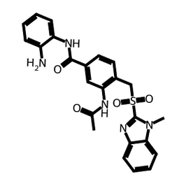 CC(=O)Nc1cc(C(=O)Nc2ccccc2N)ccc1CS(=O)(=O)c1nc2ccccc2n1C